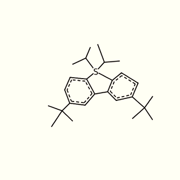 CC(C)S1(C(C)C)c2ccc(C(C)(C)C)cc2-c2cc(C(C)(C)C)ccc21